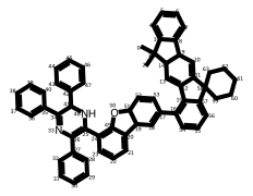 CC1(C)c2ccccc2C2C=C3C(=CC21)c1c(C2=CC4c5cccc(C6=C(c7ccccc7)N=C(c7ccccc7)C(c7ccccc7)N6)c5OC4C=C2)cccc1C31CCCCC1